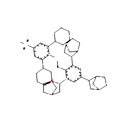 O=C(Oc1c(C2CCCCC2)cc(S(=O)(=O)O)cc1C1CCCCC1)c1c(C2CC3CC=C2C3)cc(C2CC3CCC2C3)cc1C1CC2CCC1C2